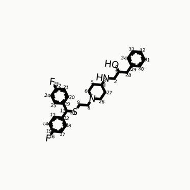 OC(CNC1CCN(CCSC(c2ccc(F)cc2)c2ccc(F)cc2)CC1)Cc1ccccc1